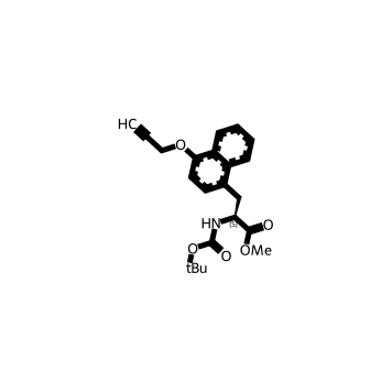 C#CCOc1ccc(C[C@H](NC(=O)OC(C)(C)C)C(=O)OC)c2ccccc12